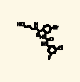 O=C(Nc1cc(F)cc(Cl)c1)Nc1cc(Br)ccc1C(=O)NCCCO